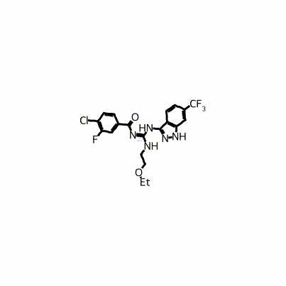 CCOCCN/C(=N/C(=O)c1ccc(Cl)c(F)c1)Nc1n[nH]c2cc(C(F)(F)F)ccc12